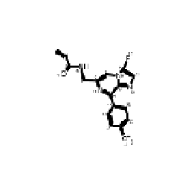 C=CC(=O)NCc1cn2c(F)cnc2c(-c2ccc(C(F)(F)F)cc2)n1